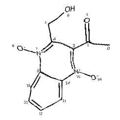 CC(=O)c1c(CO)[n+]([O-])c2ccccc2[n+]1[O-]